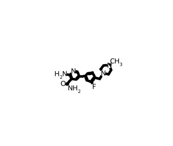 CN1CCN(Cc2ccc(-c3cnc(N)c(C(N)=O)c3)cc2F)CC1